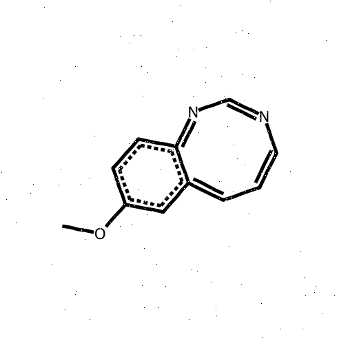 COc1ccc2/c(c1)=C\C=C/N=C\N=2